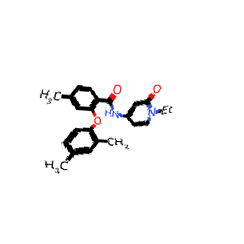 CCn1ccc(NC(=O)c2ccc(C)cc2Oc2ccc(C)cc2C)cc1=O